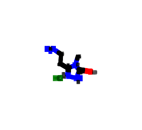 Cl.Cn1c(CCN)n[nH]c1=O